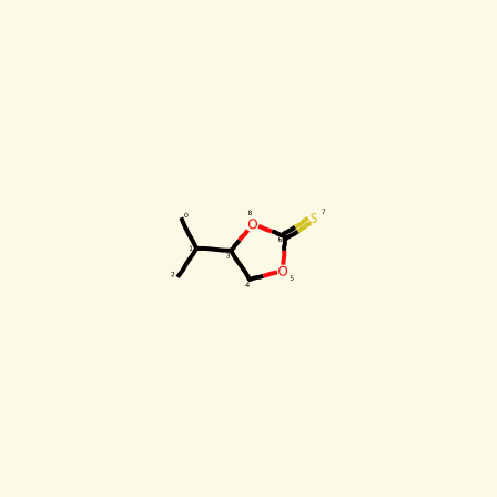 CC(C)C1COC(=S)O1